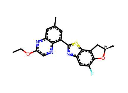 [CH2][C@@H]1Cc2c(c(F)cc3nc(-c4cc(C)cc5nc(OCC)cnc45)sc23)O1